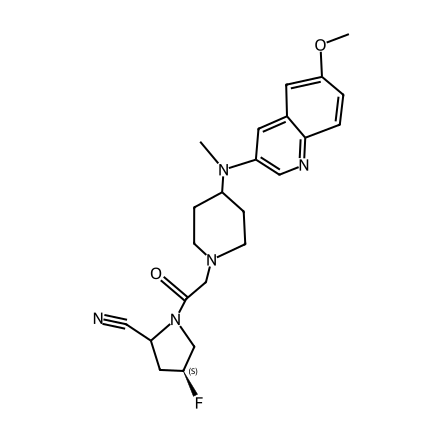 COc1ccc2ncc(N(C)C3CCN(CC(=O)N4C[C@@H](F)CC4C#N)CC3)cc2c1